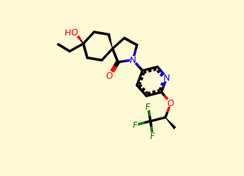 CC[C@]1(O)CC[C@]2(CCN(c3ccc(O[C@@H](C)C(F)(F)F)nc3)C2=O)CC1